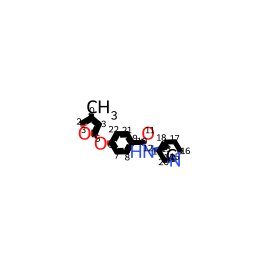 Cc1coc(Oc2ccc(C(=O)NC3CN4CCC3CC4)cc2)c1